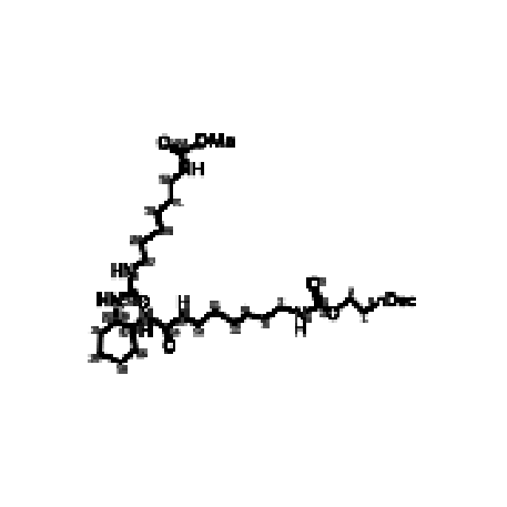 CCCCCCCCCCCCOC(=O)NCCCCCCNC(=O)N[C@H]1CCCC[C@@H]1NC(=O)NCCCCCCNC(=O)OC